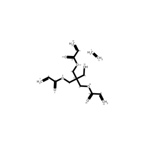 C=C.C=CC(=O)OCC(CO)(COC(=O)C=C)COC(=O)C=C